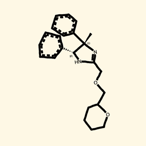 C[C@@]1(c2ccccc2)N=C(COCC2CCCCO2)N[C@@H]1c1ccccc1